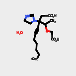 CCCCCCCCCCCCCCC#CC(CC(=O)O)(C(C)OCC(=O)O)N1C=NCC1.O